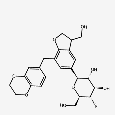 OCC1COc2c(Cc3ccc4c(c3)OCCO4)cc([C@@H]3O[C@H](CO)[C@@H](F)[C@H](O)[C@H]3O)cc21